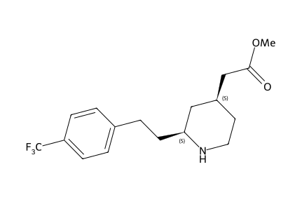 COC(=O)C[C@H]1CCN[C@@H](CCc2ccc(C(F)(F)F)cc2)C1